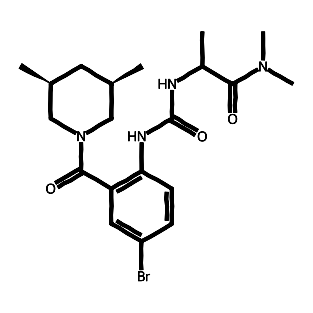 CC(NC(=O)Nc1ccc(Br)cc1C(=O)N1C[C@H](C)C[C@H](C)C1)C(=O)N(C)C